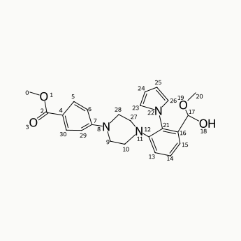 COC(=O)c1ccc(N2CCN(c3cccc(C(O)OC)c3-n3cccc3)CC2)cc1